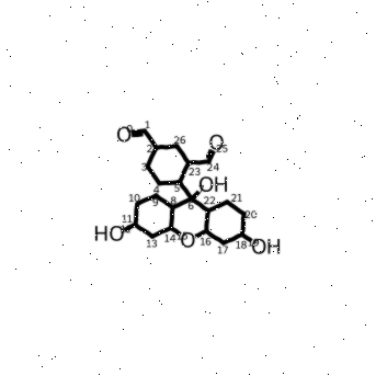 O=CC1CCC(C2(O)C3CCC(O)CC3OC3CC(O)CCC32)C(C=O)C1